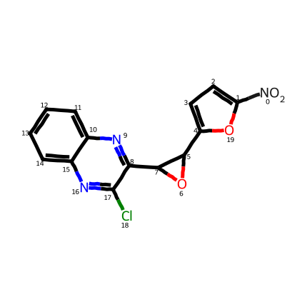 O=[N+]([O-])c1ccc(C2OC2c2nc3ccccc3nc2Cl)o1